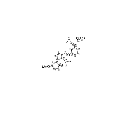 COc1cc(-n2ncc(COc3cccc([C@@H](CC(=O)O)C4CC4)c3)c2C2CC2)c(F)cn1